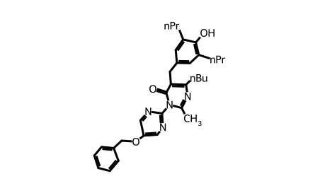 CCCCc1nc(C)n(-c2ncc(OCc3ccccc3)cn2)c(=O)c1Cc1cc(CCC)c(O)c(CCC)c1